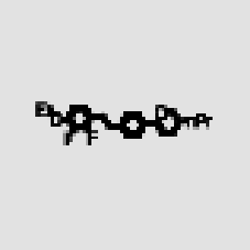 CCCC1CC=C(c2ccc(CCc3ccc(OCC)c(F)c3F)cc2)OC1